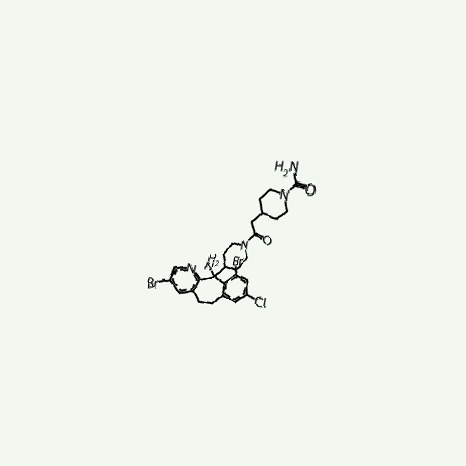 NC(=O)N1CCC(CC(=O)N2CCC(C3(N)c4ncc(Br)cc4CCc4cc(Cl)cc(Br)c43)CC2)CC1